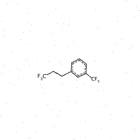 FC(F)(F)CCc1cccc(C(F)(F)F)c1